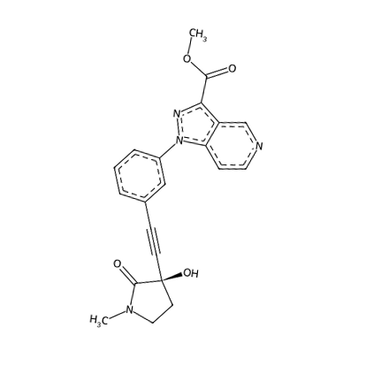 COC(=O)c1nn(-c2cccc(C#C[C@]3(O)CCN(C)C3=O)c2)c2ccncc12